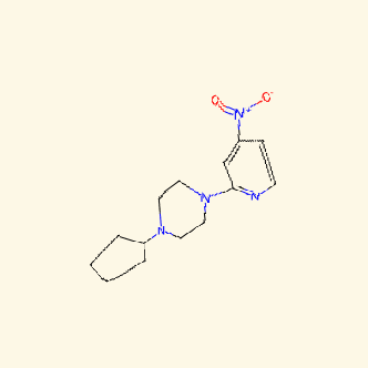 O=[N+]([O-])c1ccnc(N2CCN(C3CCCC3)CC2)c1